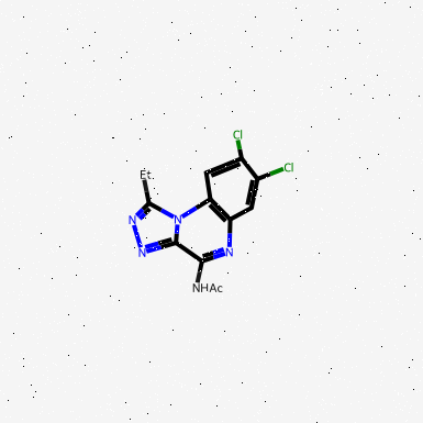 CCc1nnc2c(NC(C)=O)nc3cc(Cl)c(Cl)cc3n12